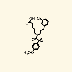 COc1ccc(C2(C(=O)N(CCCCC(=O)O)CCCc3cccc(Cl)c3)CC2)cc1